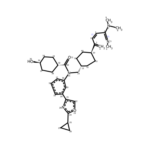 C=C(/C=C\C(=N/C)N(C)C)[C@H]1CC[C@H](CN(c2cccc(-c3coc(C4CC4)n3)c2)C(=O)[C@H]2CC[C@H](O)CC2)CC1